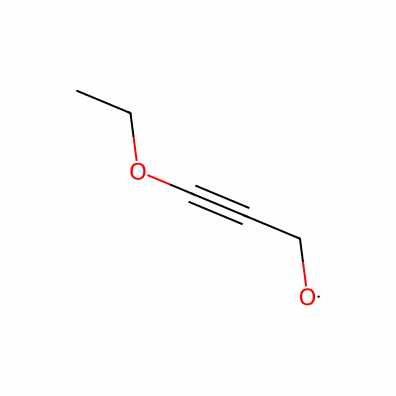 CCOC#CC[O]